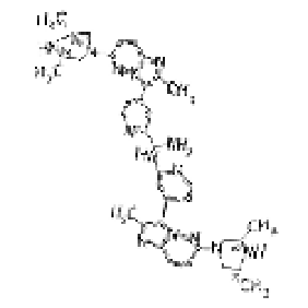 Cc1nc2ccc(N3C[C@@H](C)N[C@@H](C)C3)nn2c1-c1ccnc(NC(N)c2cc(-c3c(C)nc4ccc(N5C[C@@H](C)N[C@@H](C)C5)nn34)ccn2)c1